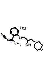 C/C(=C/C#N)c1ccccc1OCC(O)CN1CCOCC1.Cl